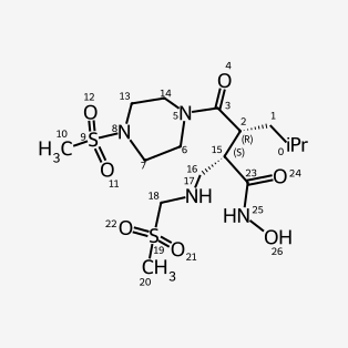 CC(C)C[C@@H](C(=O)N1CCN(S(C)(=O)=O)CC1)[C@@H](CNCS(C)(=O)=O)C(=O)NO